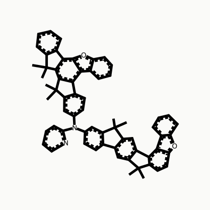 CC1(C)c2cc(N(c3ccc4c(c3)C(C)(C)c3c5c(c6oc7ccccc7c6c3-4)-c3ccccc3C5(C)C)c3ccccn3)ccc2-c2cc3c(cc21)-c1c(ccc2oc4ccccc4c12)C3(C)C